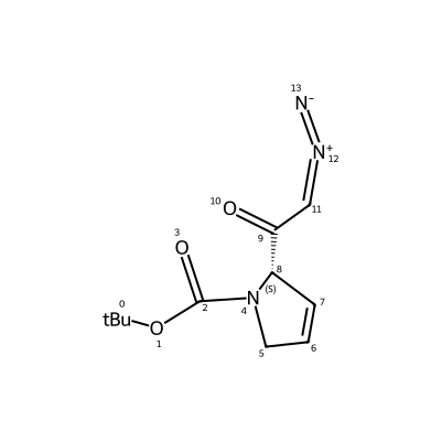 CC(C)(C)OC(=O)N1CC=C[C@H]1C(=O)C=[N+]=[N-]